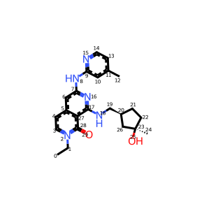 CCn1ccc2cc(Nc3cc(C)ccn3)nc(NC[C@H]3CC[C@@](C)(O)C3)c2c1=O